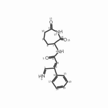 N=C/C(=C\C(=O)NC1CCCC(=O)NC1=O)c1ccccc1